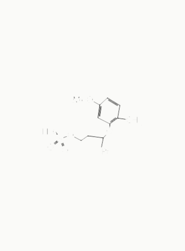 COc1ccc(C)c(OC(CCOS(C)(=O)=O)C(C)C)c1